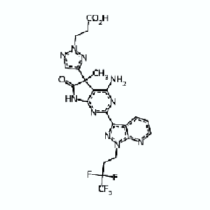 CC1(c2cnn(CCC(=O)O)n2)C(=O)Nc2nc(-c3nn(CCC(F)(F)C(F)(F)F)c4ncccc34)nc(N)c21